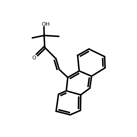 CC(C)(O)C(=O)C=Cc1c2ccccc2cc2ccccc12